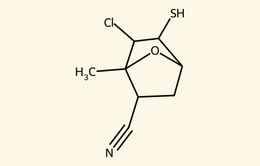 CC12OC(CC1C#N)C(S)C2Cl